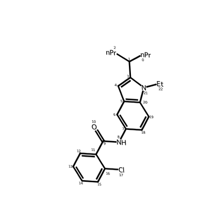 CCCC(CCC)c1cc2cc(NC(=O)c3ccccc3Cl)ccc2n1CC